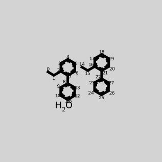 CCc1ccccc1-c1ccccc1.CCc1ccccc1-c1ccccc1.O